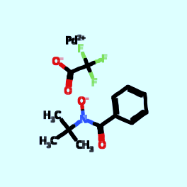 CC(C)(C)N([O-])C(=O)c1ccccc1.O=C([O-])C(F)(F)F.[Pd+2]